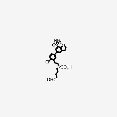 NS(=O)(=O)c1cc(-c2ccc(Cl)c(CCN(CCCCC=O)C(=O)O)c2)cc2c1OCC2